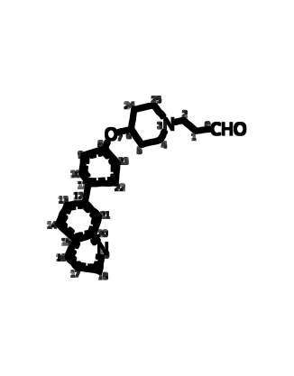 O=CCCN1CCC(Oc2ccc(-c3ccc4cccnc4c3)cc2)CC1